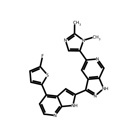 Cc1ncc(-c2cc3c(-c4cc5c(-c6ccc(F)s6)ccnc5[nH]4)n[nH]c3cn2)n1C